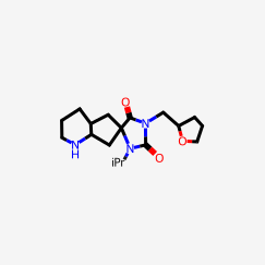 CC(C)N1C(=O)N(CC2CCCO2)C(=O)C12CC1CCCNC1C2